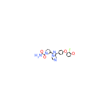 COc1cccc(Oc2ccc(-c3nc([C@@H]4CCCN(C(=O)C(N)=O)C4)n4ccncc34)cc2)c1F